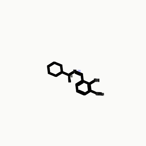 COc1cccc(/C=N\[C@@H](C)C2CCCCC2)c1O